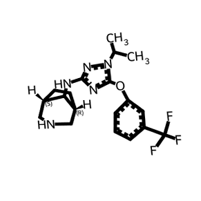 CC(C)n1nc(NC2[C@@H]3CC[C@H]2CNC3)nc1Oc1cccc(C(F)(F)F)c1